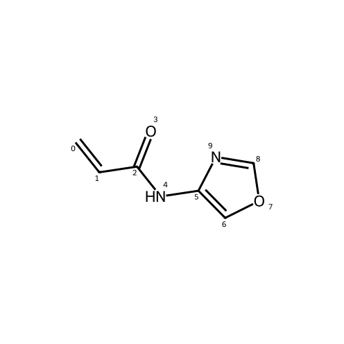 C=CC(=O)Nc1cocn1